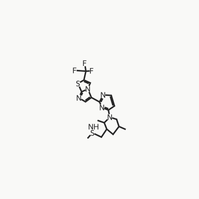 CC1CC(CS(C)=N)C(C)N(c2ccnc(-c3cnc4sc(C(F)(F)F)cn34)n2)C1